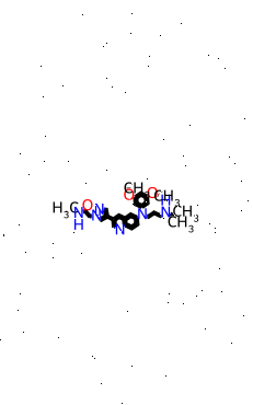 CNC(=O)Cn1cc(-c2cnc3ccc(N(CCCNC(C)C)c4cc(OC)cc(OC)c4)cc3c2)cn1